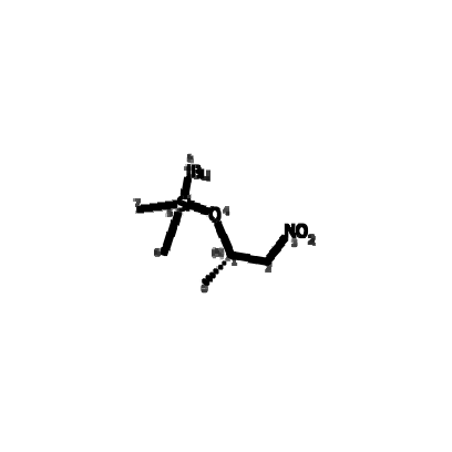 C[C@@H](C[N+](=O)[O-])O[Si](C)(C)C(C)(C)C